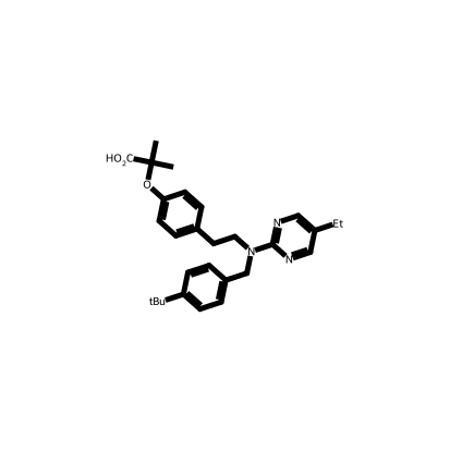 CCc1cnc(N(CCc2ccc(OC(C)(C)C(=O)O)cc2)Cc2ccc(C(C)(C)C)cc2)nc1